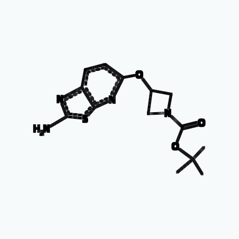 CC(C)(C)OC(=O)N1CC(Oc2ccc3nc(N)sc3n2)C1